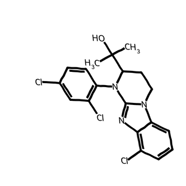 CC(C)(O)C1CCn2c(nc3c(Cl)cccc32)N1c1ccc(Cl)cc1Cl